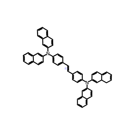 C1=CCC2C=C(N(c3ccc(/C=C/c4ccc(N(c5ccc6ccccc6c5)c5ccc6ccccc6c5)cc4)cc3)c3ccc4ccccc4c3)C=CC2=C1